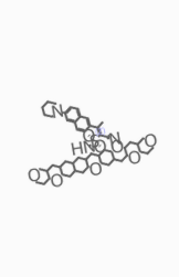 C/C(=C(\C#N)S(=O)(=O)NC1C2CC3CC4CC5COCCC5OC4CC3CC2OC2CC3CC4OC5CCOCC5CC4OC3CC21)c1ccc2cc(N3CCCCC3)ccc2c1